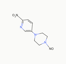 O=NN1CCN(c2ccc([N+](=O)[O-])nc2)CC1